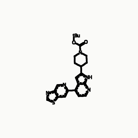 CC(C)(C)OC(=O)N1CCC(c2cc3c(-c4cc5scnc5cn4)ccnc3[nH]2)CC1